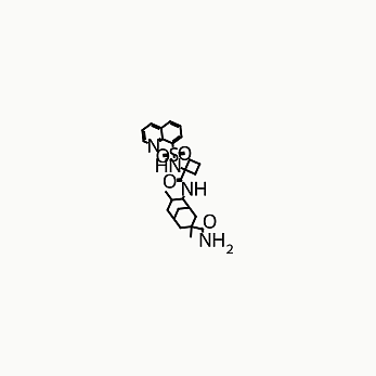 CC1CC2CC(CC(C)(C(N)=O)C2)C1NC(=O)C1(NS(=O)(=O)c2cccc3cccnc23)CCC1